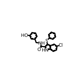 O=C(NCc1cccc(O)c1)c1[nH]c2ccc(Cl)cc2c1Sc1ccccc1